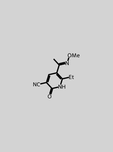 CCc1[nH]c(=O)c(C#N)cc1C(C)=NOC